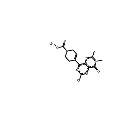 Cc1nc2c(C3=CCN(C(=O)OC(C)(C)C)CC3)nc(Cl)nc2c(=O)n1C